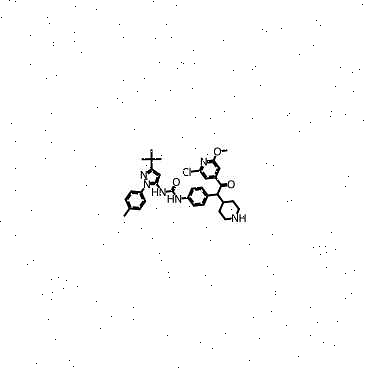 COc1cc(C(=O)C(c2ccc(NC(=O)Nc3cc(C(C)(C)C)nn3-c3ccc(C)cc3)cc2)C2CCNCC2)cc(Cl)n1